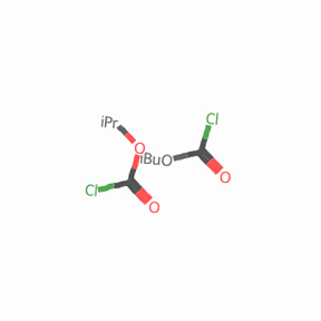 CC(C)COC(=O)Cl.CC(C)OC(=O)Cl